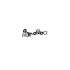 ON=C(C=Cc1ccc(OCc2ccc(Cl)cc2Cl)cc1)C=Cc1ccccn1